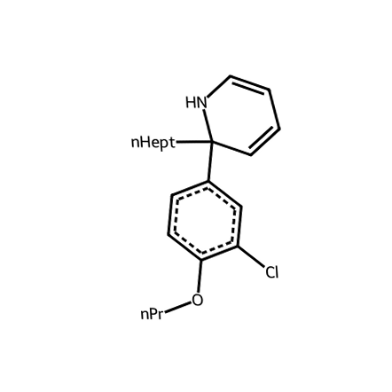 CCCCCCCC1(c2ccc(OCCC)c(Cl)c2)C=CC=CN1